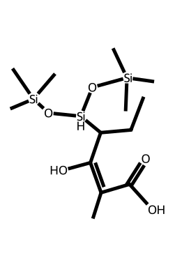 CCC(C(O)=C(C)C(=O)O)[SiH](O[Si](C)(C)C)O[Si](C)(C)C